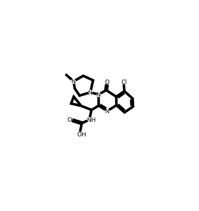 CN1CCN(n2c(C(NC(=O)O)C3CC3)nc3cccc(Cl)c3c2=O)CC1